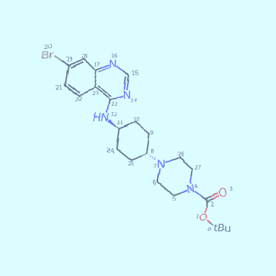 CC(C)(C)OC(=O)N1CCN([C@H]2CC[C@H](Nc3ncnc4cc(Br)ccc34)CC2)CC1